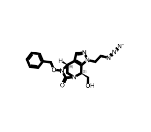 [N-]=[N+]=NCCn1ncc2c1[C@@H](CO)N1C[C@@H]2N(OCc2ccccc2)C1=O